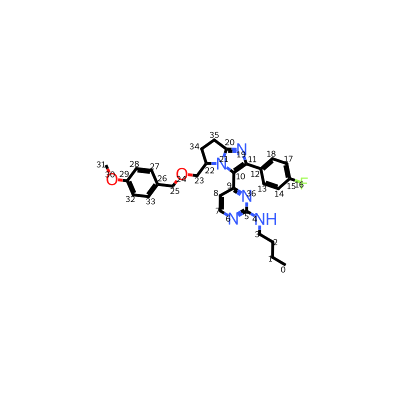 CCCCNc1nccc(-c2c(-c3ccc(F)cc3)nc3n2C(COCc2ccc(OC)cc2)CC3)n1